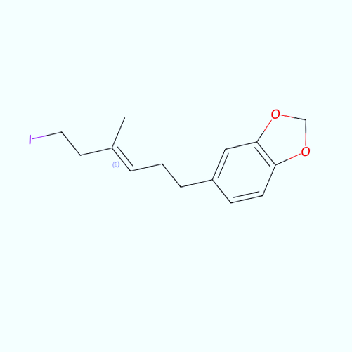 C/C(=C\CCc1ccc2c(c1)OCO2)CCI